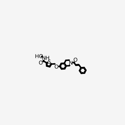 O=C(NO)c1ccc(COc2ccc3c(c2)CCN(C(=O)C=Cc2ccccc2)C3)s1